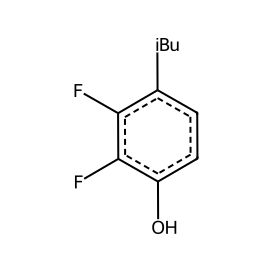 CCC(C)c1ccc(O)c(F)c1F